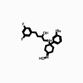 CC(C)(C)c1cccc(C2(NCC(O)CCc3cc(F)cc(F)c3)CCC(=NO)CC2)c1